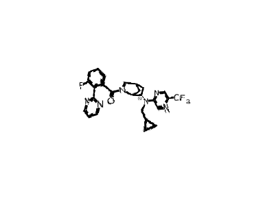 O=C(c1cccc(F)c1-c1ncccn1)N1CC2CC1[C@@H](N(CC1CC1)c1cnc(C(F)(F)F)cn1)C2